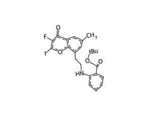 Cc1cc(CCNc2ccccc2C(=O)OC(C)(C)C)c2oc(I)c(F)c(=O)c2c1